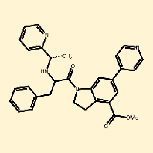 COC(=O)c1cc(-c2ccncc2)cc2c1CCN2C(=O)C(Cc1ccccc1)N[C@@H](C)c1ccccn1